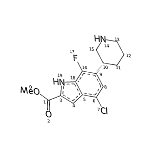 COC(=O)c1cc2c(Cl)cc([C@H]3CCCNC3)c(F)c2[nH]1